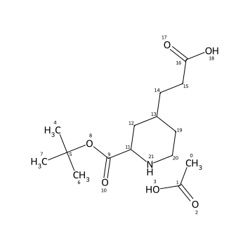 CC(=O)O.CC(C)(C)OC(=O)C1CC(CCC(=O)O)CCN1